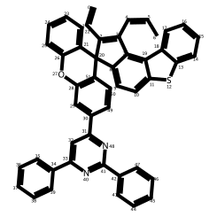 C=CC1=C(/C=C\C)c2c(ccc3sc4ccccc4c23)C12c1ccccc1Oc1cc(-c3cc(-c4ccccc4)nc(-c4ccccc4)n3)ccc12